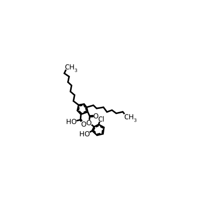 CCCCCCCCc1cc(CCCCCCCC)c(C(=O)Oc2c(O)cccc2Cl)c(C(=O)O)c1